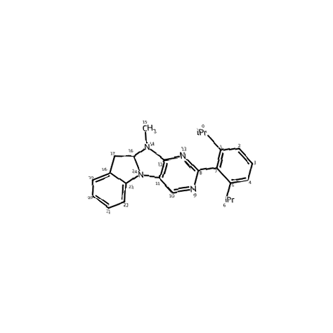 CC(C)c1cccc(C(C)C)c1-c1ncc2c(n1)N(C)C1Cc3ccccc3N21